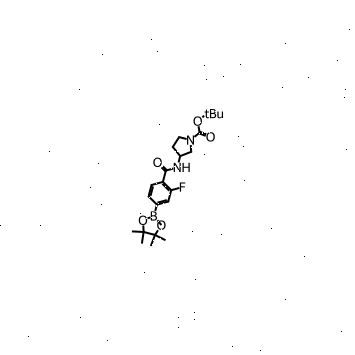 CC(C)(C)OC(=O)N1CCC(NC(=O)c2ccc(B3OC(C)(C)C(C)(C)O3)cc2F)C1